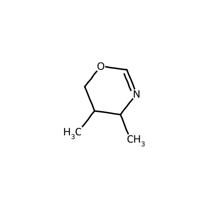 CC1COC=NC1C